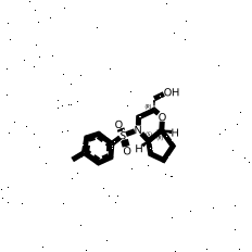 Cc1ccc(S(=O)(=O)N2C[C@H](CO)O[C@@H]3CCC[C@@H]32)cc1